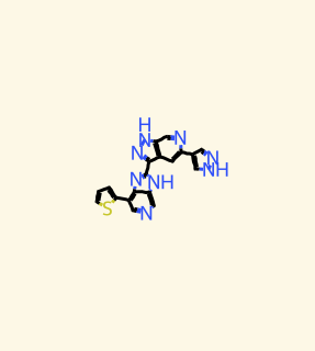 c1csc(-c2cncc3[nH]c(-c4n[nH]c5cnc(-c6cn[nH]c6)cc45)nc23)c1